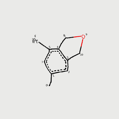 Cc1cc2c(c(C(C)C)c1)COC2